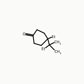 CCC(C)(C)C1(CC)CCC(=O)CC1